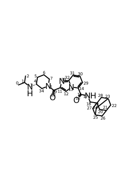 CC(C)N[C@@H]1CCCN(C(=O)c2cn3c(C(=O)NCC45CC6CC(CC(C6)C4)C5)cccc3n2)C1